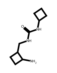 NC1CCC1CNC(=O)NC1CCC1